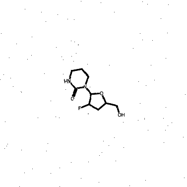 O=C1NCCCN1C1OC(CO)CC1F